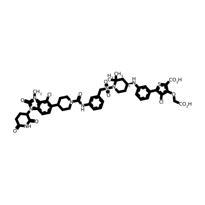 Cn1c(=O)n(C2CCC(=O)NC2=O)c2ccc(C3CCN(C(=O)Nc4cccc(CS(=O)(=O)N5CC[C@H](Nc6cccc(-c7sc(C(=O)O)c(OCC(=O)O)c7Cl)c6)CC5(C)C)c4)CC3)c(Cl)c21